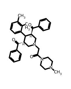 Cc1cccc(C2[C@@H](C(=O)c3ccccc3)CN(CC(=O)N3CCN(C)CC3)C[C@@H]2C(=O)c2ccccc2)c1C